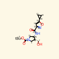 CC(C)(C)OC(=O)N1C[C@@H](CO)[C@@H](NC(=O)c2cc(C3CC3)on2)C1